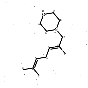 CC(C)=CCC=C(C)CN1CCOCC1